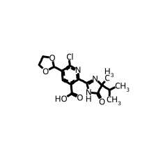 CC(C)C1(C)N=C(c2nc(Cl)c(C3OCCO3)cc2C(=O)O)NC1=O